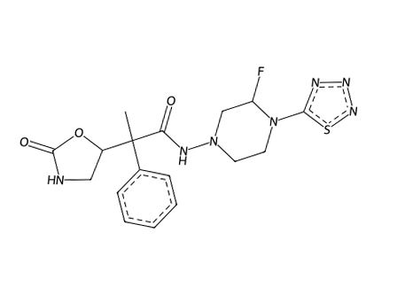 CC(C(=O)NN1CCN(c2nnns2)C(F)C1)(c1ccccc1)C1CNC(=O)O1